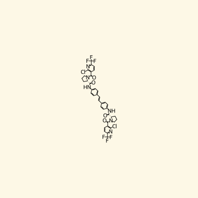 O=C(Nc1ccc(/C=C/c2ccc(NC(=O)[C@@H]3CCCN3C(=O)c3ccc(C(F)(F)F)nc3Cl)cc2)cc1)[C@@H]1CCCN1C(=O)c1ccc(C(F)(F)F)nc1Cl